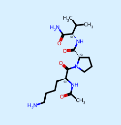 CC(=O)N[C@@H](CCCCN)C(=O)N1CCC[C@H]1C(=O)N[C@H](C(N)=O)C(C)C